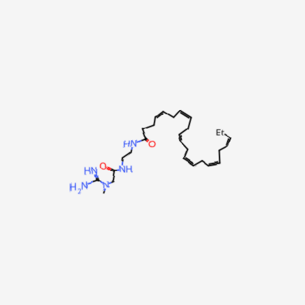 CC/C=C\C/C=C\C/C=C\C/C=C\C/C=C\C/C=C\CCC(=O)NCCNC(=O)CN(C)C(=N)N